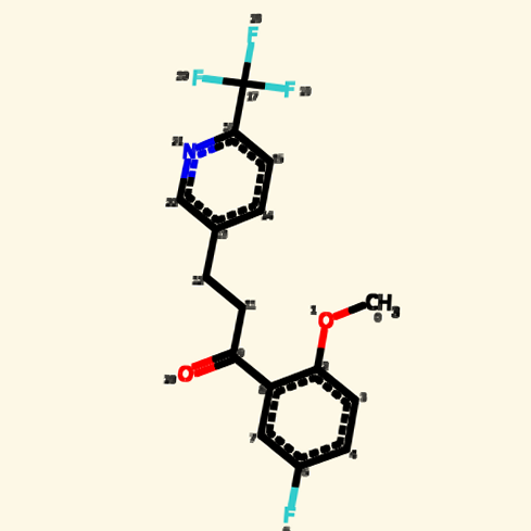 COc1ccc(F)cc1C(=O)CCc1ccc(C(F)(F)F)nc1